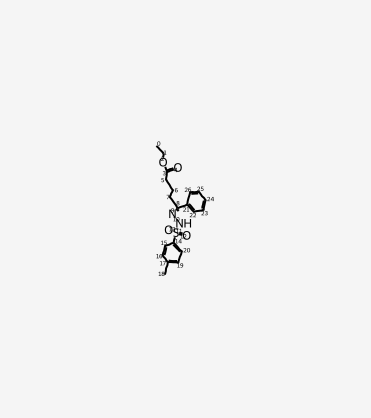 CCOC(=O)CCCC(=NNS(=O)(=O)c1ccc(C)cc1)c1ccccc1